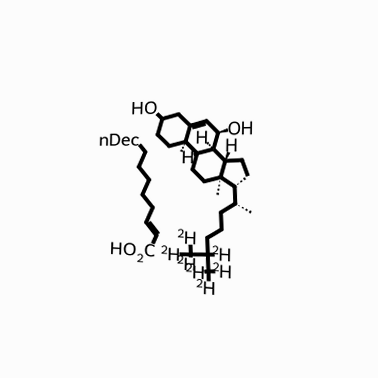 CCCCCCCCCCCCCCCC=CC(=O)O.[2H]C([2H])([2H])C([2H])(CCC[C@@H](C)[C@H]1CC[C@H]2[C@@H]3[C@H](O)C=C4CC(O)CC[C@]4(C)[C@H]3CC[C@]12C)C([2H])([2H])[2H]